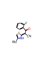 CC(C)(C)C1=CSC(=C(C#N)C(=O)c2ccccc2F)N1